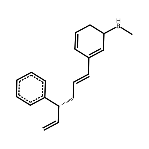 C=C[C@@H](C/C=C/C1=CC(BC)CC=C1)c1ccccc1